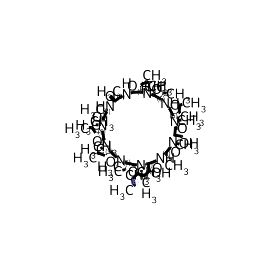 C/C=C/C[C@@H](C)[C@@H](O)[C@H]1C(=O)N[C@@H](CC)C(=O)N(C)C(CO)C(=O)N(C)[C@@H](C(C)CC)C(=O)N[C@@H](C(C)C)C(=O)N(C)[C@@H](CC(C)C)C(=O)N[C@@H](C)C(=O)N[C@H](C)C(=O)N(C)[C@@H](CC(C)C)C(=O)N(C)[C@@H](CC(C)C)C(=O)N(C)[C@@H](C(C)C)C(=O)N1C